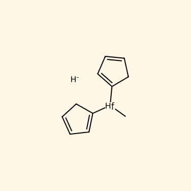 [CH3][Hf]([C]1=CC=CC1)[C]1=CC=CC1.[H-]